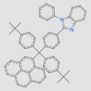 CC(C)(C)c1ccc(C(c2ccc(-c3nc4ccccc4n3-c3ccccc3)cc2)(c2ccc(C(C)(C)C)cc2)c2cc3cccc4ccc5cccc2c5c43)cc1